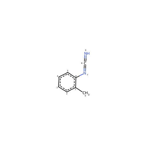 Cc1ccccc1N=C=N